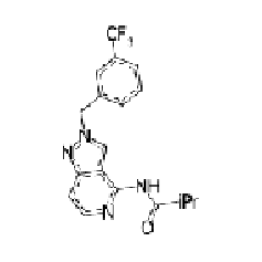 CC(C)C(=O)Nc1nccc2nn(Cc3cccc(C(F)(F)F)c3)cc12